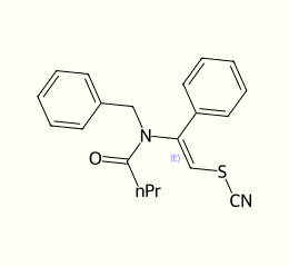 CCCC(=O)N(Cc1ccccc1)/C(=C/SC#N)c1ccccc1